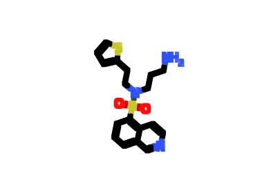 NCCCN(CCc1cccs1)S(=O)(=O)c1cccc2cnccc12